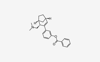 CN(C)C[C@@H]1C(c2cccc(OC(=O)c3ccccc3)c2)=C[C@H]2CC[C@@H]1C2